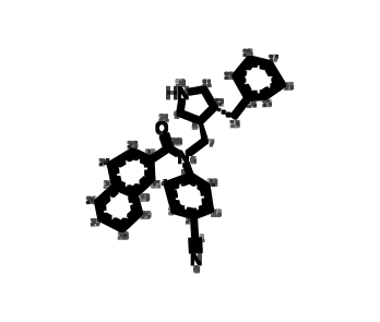 N#Cc1ccc(N(C[C@H]2CNC[C@@H]2Cc2ccccc2)C(=O)c2ccc3ccccc3c2)cc1